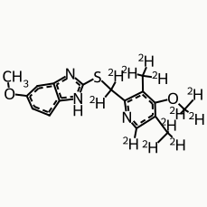 [2H]c1nc(C([2H])([2H])Sc2nc3cc(OC)ccc3[nH]2)c(C([2H])([2H])[2H])c(OC([2H])([2H])[2H])c1C([2H])([2H])[2H]